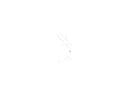 COc1ccc(CC#Cc2ccc3c(c2)C(=O)/C(=C/c2cccc(Cl)c2)[S+]([O-])N3)cc1